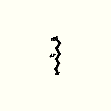 CCCCCCCCCC[S-].[Li+]